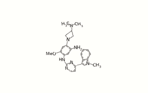 COc1cc(N2CC(N(C)C)C2)c(N)cc1Nc1nccc(-c2cn(C)c3ccccc23)n1